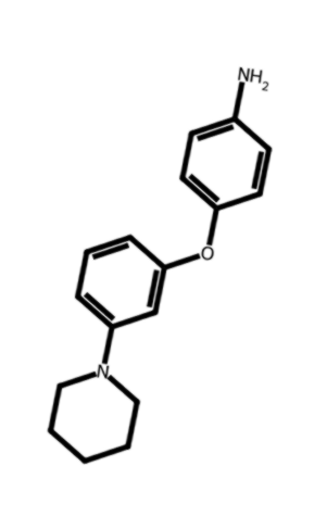 Nc1ccc(Oc2cccc(N3CCCCC3)c2)cc1